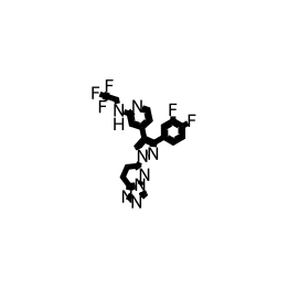 Fc1ccc(-c2nn(C3=Nn4cnnc4CC3)cc2-c2ccnc(NCC(F)(F)F)c2)cc1F